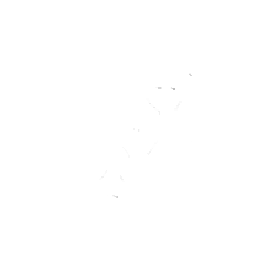 Cc1cc(-c2ccc(O)cc2)c(C)cc1-c1ccc(O)cc1